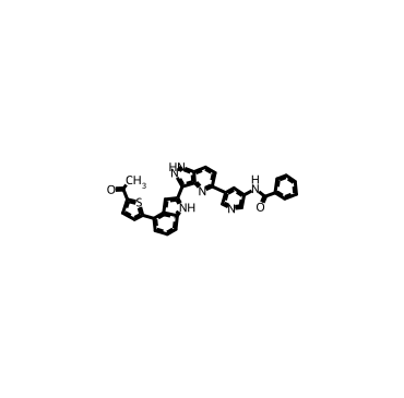 CC(=O)c1ccc(-c2cccc3[nH]c(-c4n[nH]c5ccc(-c6cncc(NC(=O)c7ccccc7)c6)nc45)cc23)s1